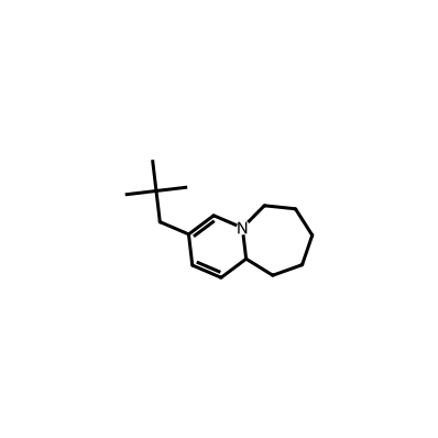 CC(C)(C)CC1=CN2CCCCCC2C=C1